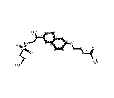 CCCS(=O)(=O)NCC(C)c1ccc2cc(OCCNC(C)=O)ccc2c1